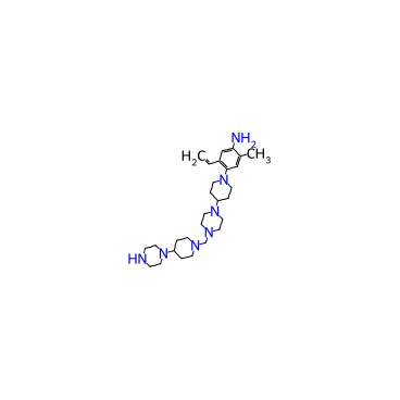 C=Cc1cc(N)c(C)cc1N1CCC(N2CCN(CN3CCC(N4CCNCC4)CC3)CC2)CC1